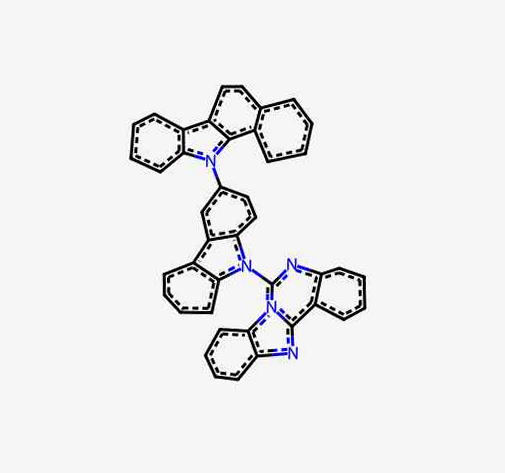 c1ccc2c(c1)ccc1c3ccccc3n(-c3ccc4c(c3)c3ccccc3n4-c3nc4ccccc4c4nc5ccccc5n34)c21